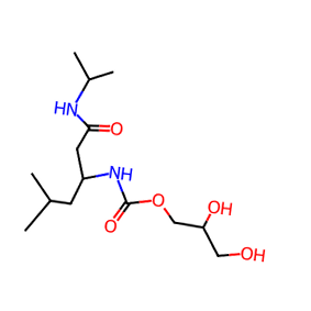 CC(C)CC(CC(=O)NC(C)C)NC(=O)OCC(O)CO